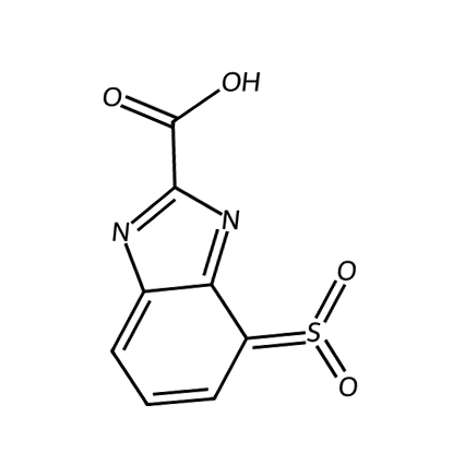 O=C(O)C1=NC2=CC=CC(=S(=O)=O)C2=N1